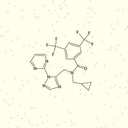 O=C(c1cc(C(F)(F)F)cc(C(F)(F)F)c1)N(Cc1ncnn1-c1ncccn1)CC1CC1